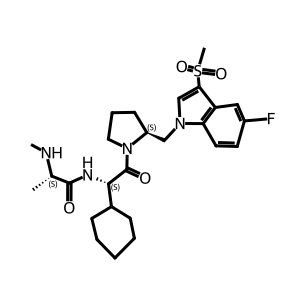 CN[C@@H](C)C(=O)N[C@H](C(=O)N1CCC[C@H]1Cn1cc(S(C)(=O)=O)c2cc(F)ccc21)C1CCCCC1